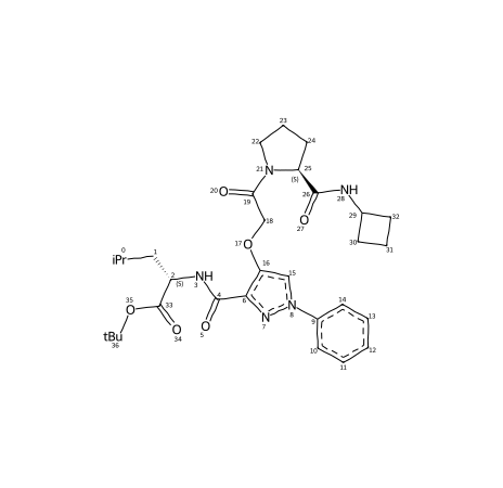 CC(C)C[C@H](NC(=O)c1nn(-c2ccccc2)cc1OCC(=O)N1CCC[C@H]1C(=O)NC1CCC1)C(=O)OC(C)(C)C